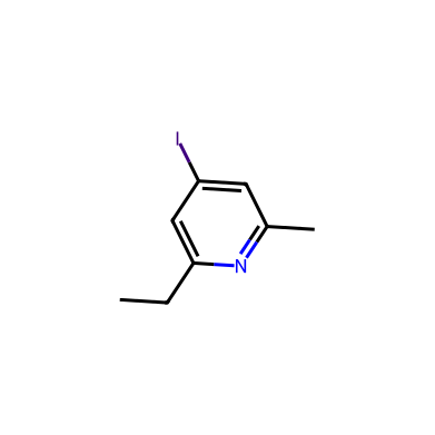 CCc1cc(I)cc(C)n1